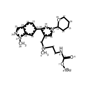 CN(CCNC(=O)OC(C)(C)C)Cc1cn(C2CCCCO2)nc1-c1ccc2cnn(C)c2c1